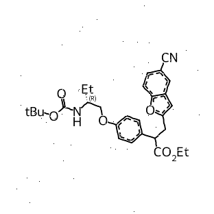 CCOC(=O)C(Cc1cc2cc(C#N)ccc2o1)c1ccc(OC[C@@H](CC)NC(=O)OC(C)(C)C)cc1